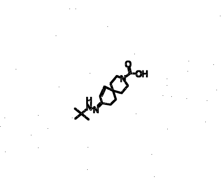 CC(C)(C)N/N=C1\C=CC2(CC1)CCN(C(=O)O)CC2